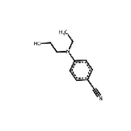 CCN(CCO)c1ccc(C#N)cc1